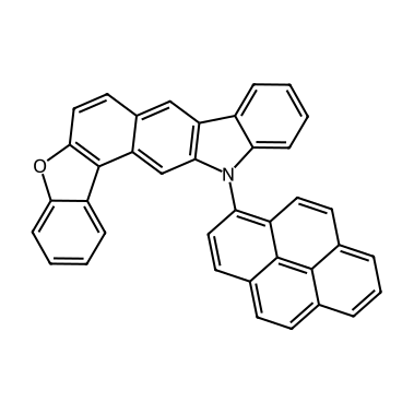 c1cc2ccc3ccc(-n4c5ccccc5c5cc6ccc7oc8ccccc8c7c6cc54)c4ccc(c1)c2c34